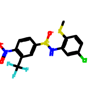 CSc1ccc(Cl)cc1N[S+]([O-])c1ccc([N+](=O)[O-])c(C(F)(F)F)c1